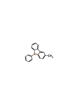 Cc1ccc2c(c1)c1ccccc1[s+]2-c1ccccc1